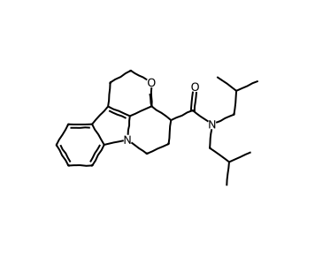 CC(C)CN(CC(C)C)C(=O)C1CCn2c3c(c4ccccc42)CCOC31C